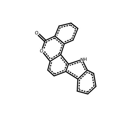 O=c1oc2ccc3c4ccccc4[nH]c3c2c2ccccc12